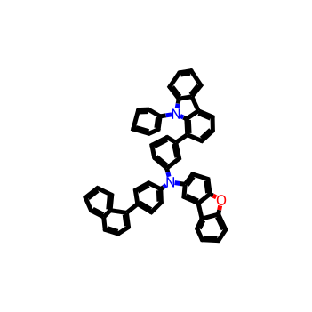 c1ccc(-n2c3ccccc3c3cccc(-c4cccc(N(c5ccc(-c6cccc7ccccc67)cc5)c5ccc6oc7ccccc7c6c5)c4)c32)cc1